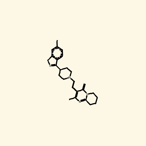 C=C1C(CCN2CCC(C3=NCc4cc(C)ccc43)CC2)=C(C)N=C2CCCCN12